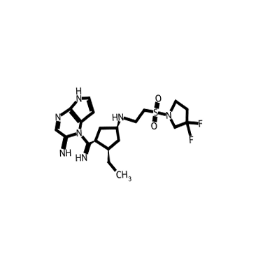 CC[C@@H]1C[C@H](NCCS(=O)(=O)N2CCC(F)(F)C2)C[C@@H]1C(=N)n1c(=N)cnc2[nH]ccc21